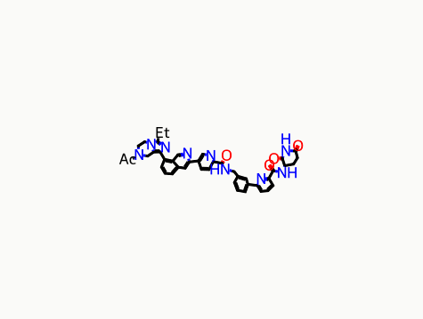 CCc1nc(-c2cccc3cc(-c4ccc(C(=O)NCc5cccc(-c6cccc(C(=O)NC7CCC(=O)NC7=O)n6)c5)nc4)ncc23)c2n1CCN(C(C)=O)C2